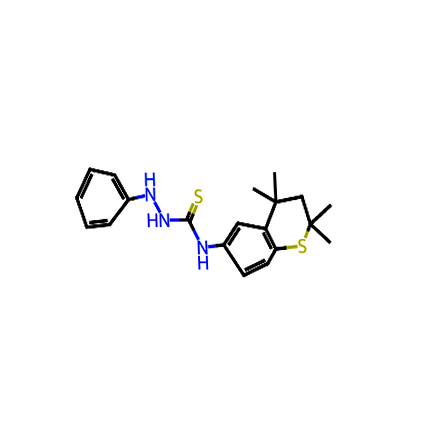 CC1(C)CC(C)(C)c2cc(NC(=S)NNc3ccccc3)ccc2S1